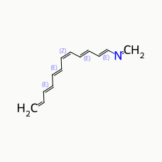 C=C/C=C/C=C/C=C\C=C\C=C\N=C